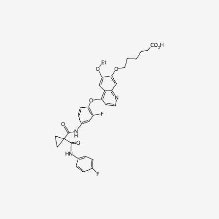 CCOc1cc2c(Oc3ccc(NC(=O)C4(C(=O)Nc5ccc(F)cc5)CC4)cc3F)ccnc2cc1OCCCCCC(=O)O